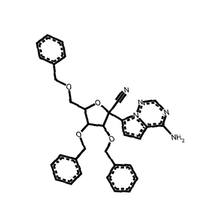 N#CC1(c2ccc3c(N)ncnn23)OC(COCc2ccccc2)C(OCc2ccccc2)C1OCc1ccccc1